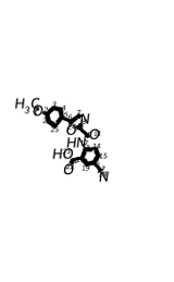 COc1ccc(-c2cnc(C(=O)Nc3ccc(C#N)cc3C(=O)O)o2)cc1